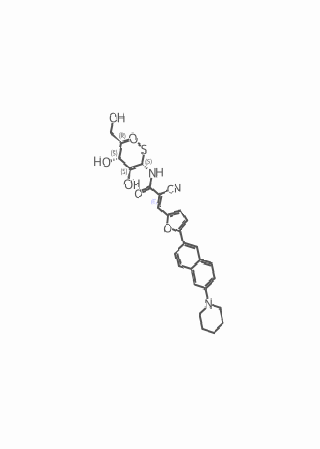 N#C/C(=C\c1ccc(-c2ccc3cc(N4CCCCC4)ccc3c2)o1)C(=O)N[C@H]1SO[C@H](CO)[C@@H](O)[C@@H]1O